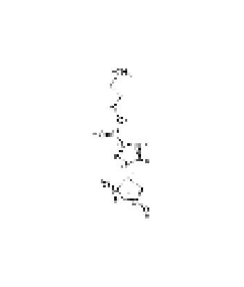 CCCCOC(=O)c1cn(C2SC(=O)NC2=O)nn1